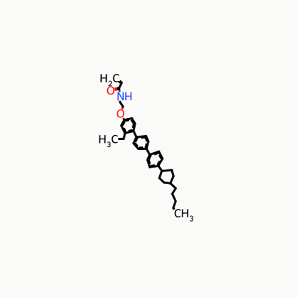 C=CC(=O)NCCOc1ccc(-c2ccc(-c3ccc(C4CCC(CCCCC)CC4)cc3)cc2)c(CC)c1